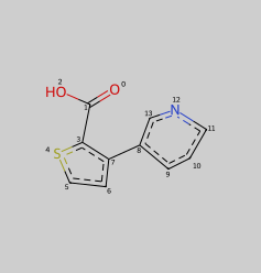 O=C(O)c1sccc1-c1cccnc1